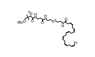 CC/C=C\C/C=C\C/C=C\C/C=C\C/C=C\C/C=C\CC(=O)NCCSSCCNC(=O)CCNC(=O)[C@H](OI)C(C)(C)COC(C)(C)C